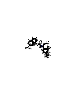 CN(C)C1CCc2cccc(NC(=O)/C=C3\CCCOc4cc(C(F)(F)F)ccc43)c2C1